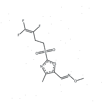 CON=Cc1sc(S(=O)(=O)CCC(F)=C(F)F)nc1C